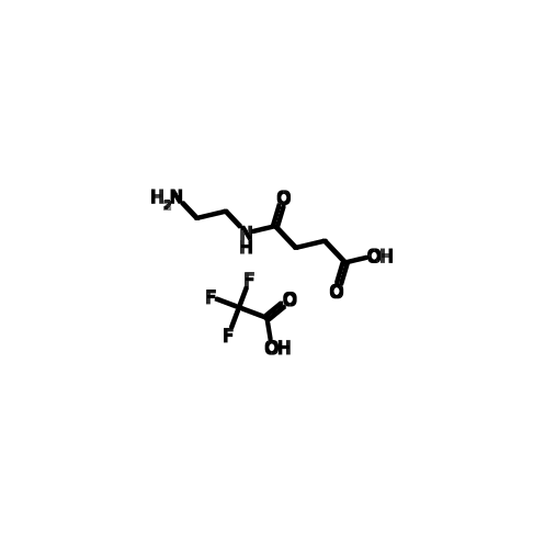 NCCNC(=O)CCC(=O)O.O=C(O)C(F)(F)F